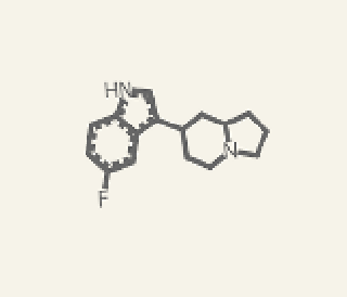 Fc1ccc2[nH]cc(C3CCN4CCCC4C3)c2c1